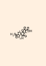 CN(C)c1ccc2c(c1)[nH]c(=O)c1cc(C(=O)O)c(=O)oc12